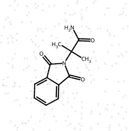 CC(C)(C(N)=O)N1C(=O)c2ccccc2C1=O